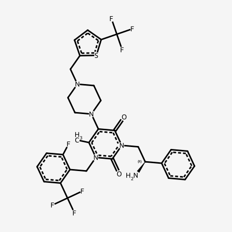 Cc1c(N2CCN(Cc3ccc(C(F)(F)F)s3)CC2)c(=O)n(C[C@H](N)c2ccccc2)c(=O)n1Cc1c(F)cccc1C(F)(F)F